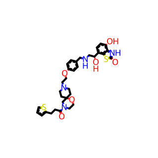 O=C(CCc1cccs1)N1CCOC2(CCN(CCOc3ccc(CNC[C@H](O)c4ccc(O)c5[nH]c(=O)sc45)cc3)CC2)C1